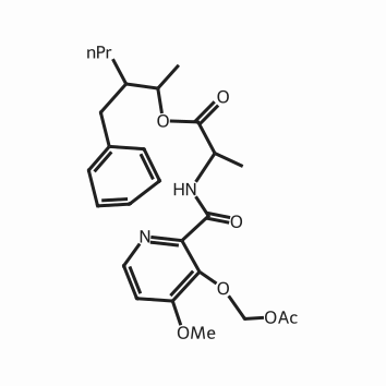 CCCC(Cc1ccccc1)C(C)OC(=O)C(C)NC(=O)c1nccc(OC)c1OCOC(C)=O